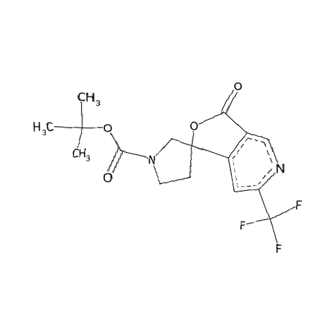 CC(C)(C)OC(=O)N1CCC2(C1)OC(=O)c1cnc(C(F)(F)F)cc12